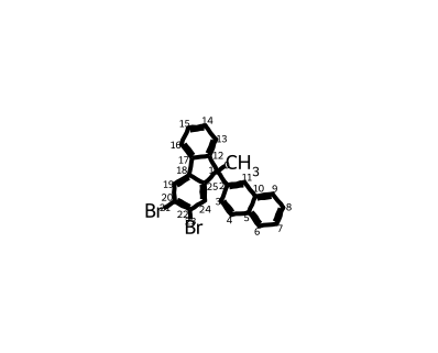 CC1(c2ccc3ccccc3c2)c2ccccc2-c2cc(Br)c(Br)cc21